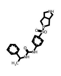 CC(NC(=O)Nc1ccc(S(=O)(=O)N2CC3CNCC3C2)cc1)c1ccccc1